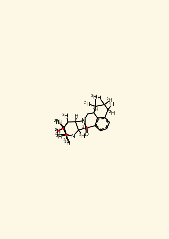 [2H]C1([2H])[C@@H](N2C[C@]3([2H])c4c(cccc4C([2H])([2H])C([2H])([2H])C3([2H])[2H])C2=O)C2([2H])C([2H])([2H])C([2H])([2H])N1C([2H])([2H])C2([2H])[2H]